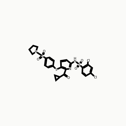 O=C(c1nc(NS(=O)(=O)c2ccc(Cl)cc2Cl)ccc1Sc1ccc(S(=O)(=O)N2CCCC2)cc1)C1CC1